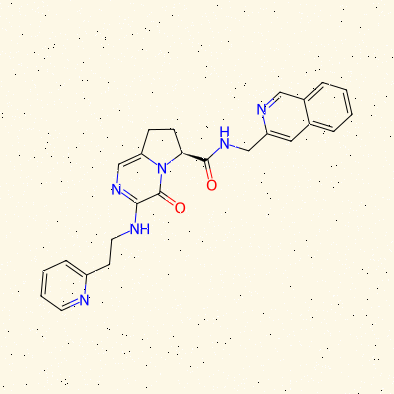 O=C(NCc1cc2ccccc2cn1)[C@@H]1CCc2cnc(NCCc3ccccn3)c(=O)n21